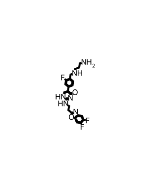 NCCCNCc1ccc(-c2c[nH]c(NCCc3nc4cc(F)c(F)cc4o3)nc2=O)cc1F